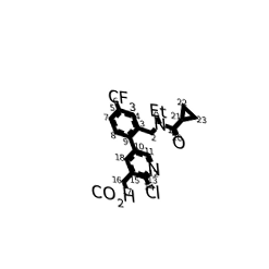 CCN(Cc1cc(C(F)(F)F)ccc1-c1cnc(Cl)c(CC(=O)O)c1)C(=O)C1CC1